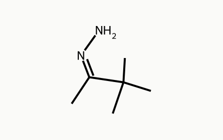 C/C(=N/N)C(C)(C)C